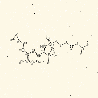 CC(C)COCCCS(=O)(=O)N[C@H](c1ccc(F)c(OCC2CC2)c1)C(C)C